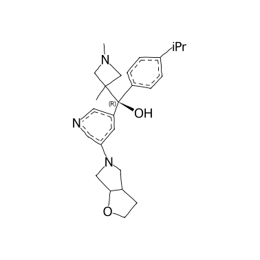 CC(C)c1ccc([C@](O)(c2cncc(N3CC4CCOC4C3)c2)C2(C)CN(C)C2)cc1